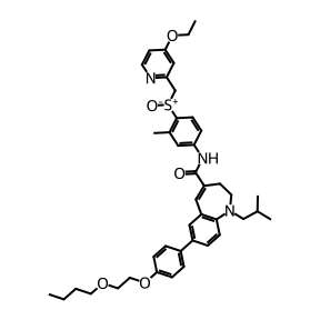 CCCCOCCOc1ccc(-c2ccc3c(c2)C=C(C(=O)Nc2ccc([S+]([O-])Cc4cc(OCC)ccn4)c(C)c2)CCN3CC(C)C)cc1